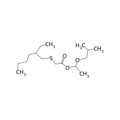 CCCCC(CC)CSCC(=O)OC(C)OCC(C)C